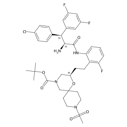 CC(C)(C)OC(=O)N1C[C@@H](CCc2c(F)cccc2NC(=O)[C@@H](N)[C@@H](c2ccc(Cl)cc2)c2cc(F)cc(F)c2)OC2(CCN(S(C)(=O)=O)CC2)C1